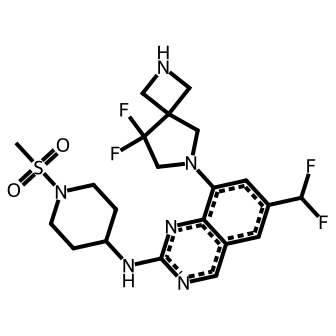 CS(=O)(=O)N1CCC(Nc2ncc3cc(C(F)F)cc(N4CC(F)(F)C5(CNC5)C4)c3n2)CC1